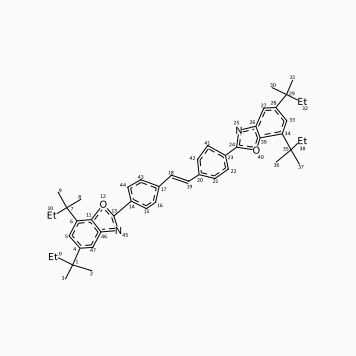 CCC(C)(C)c1cc(C(C)(C)CC)c2oc(-c3ccc(/C=C/c4ccc(-c5nc6cc(C(C)(C)CC)cc(C(C)(C)CC)c6o5)cc4)cc3)nc2c1